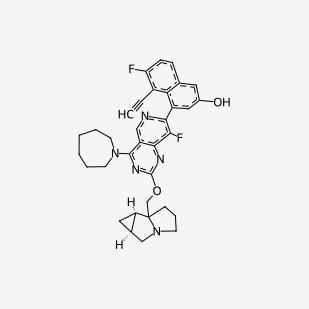 C#Cc1c(F)ccc2cc(O)cc(-c3ncc4c(N5CCCCCC5)nc(OCC56CCCN5C[C@H]5C[C@H]56)nc4c3F)c12